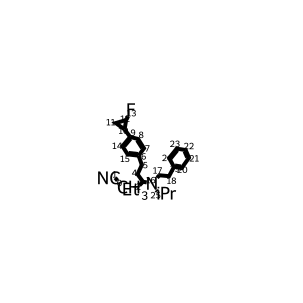 CC#N.CCC(CCc1ccc(C2CC2F)cc1)N(CCc1ccccc1)C(C)C